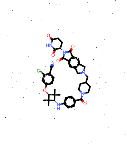 CC1(C)[C@H](Nc2ccc(C(=O)N3CCC(CN4Cc5cc6c(cc5C4)C(=O)N([C@H]4CCC(=O)NC4=O)C6=O)CC3)cc2)C(C)(C)[C@H]1Oc1ccc(C#N)c(Cl)c1